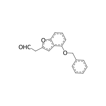 O=CCc1cc2c(OCc3ccccc3)cccc2o1